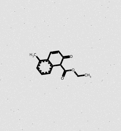 CCOC(=O)C1C(=O)C=Cc2c(C)cccc21